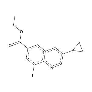 CCOC(=O)c1cc(I)c2ncc(C3CC3)cc2c1